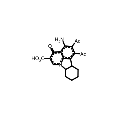 CC(=O)c1c(C(C)=O)c2c3c(c1N)c(=O)c(C(=O)O)cn3C1CCCCC21